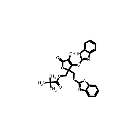 CC(C)(N)C(=O)OCC1(CSc2nc3ccccc3[nH]2)OC(=O)C(O)=C1Sc1nc2ccccc2[nH]1